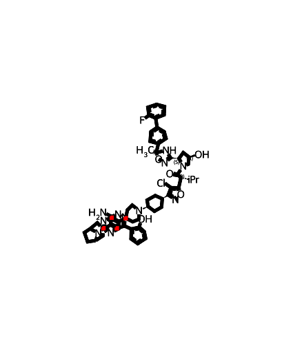 CC(C)[C@@H](C(=O)N1C[C@H](O)C[C@H]1C1=NO[C@](C)(c2ccc(-c3ccccc3F)cc2)N1)c1onc([C@H]2CC[C@@H](N3CCC(c4cnc(N5C6CCC5CN(c5cc(-c7ccccc7O)nnc5N)C6)nc4)CC3)CC2)c1Cl